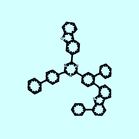 c1ccc(-c2ccc(-c3nc(-c4ccc(-c5cccc6c5sc5c(-c7ccccc7)cccc56)c(-c5ccccc5)c4)nc(-c4ccc5c(c4)oc4ccccc45)n3)cc2)cc1